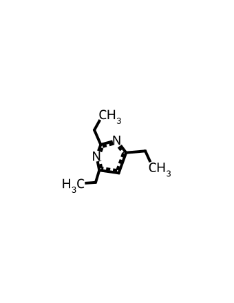 CCc1cc(CC)nc(CC)n1